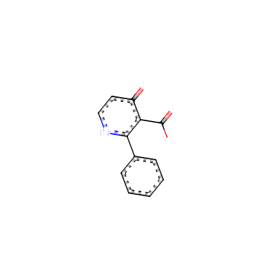 O=C(O)c1c(-c2ccccc2)[nH]ccc1=O